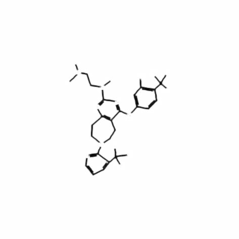 CN(C)CCN(C)c1nc2c(c(Nc3ccc(C(F)(F)F)c(Cl)c3)n1)CCN(c1ncccc1C(F)(F)F)CC2